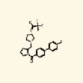 O=C(O)C(F)(F)F.O=C(c1ccc(-c2ccc(F)cc2)cc1)N1CCCC1CN1CCCC1